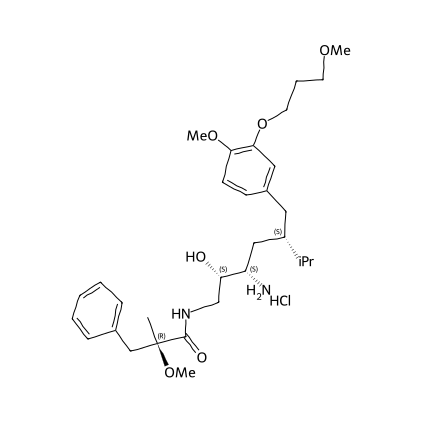 COCCCOc1cc(C[C@@H](C[C@H](N)[C@@H](O)CNC(=O)[C@@](C)(Cc2ccccc2)OC)C(C)C)ccc1OC.Cl